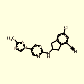 Cc1ncn(-c2cnc(NC3Cc4cc(Cl)cc(C#N)c4C3)nc2)n1